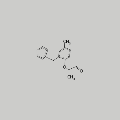 Cc1ccc(OC(C)C=O)c(Cc2ccccc2)c1